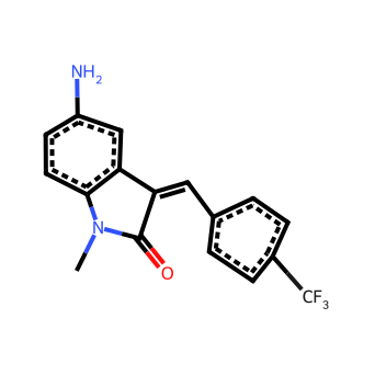 CN1C(=O)C(=Cc2ccc(C(F)(F)F)cc2)c2cc(N)ccc21